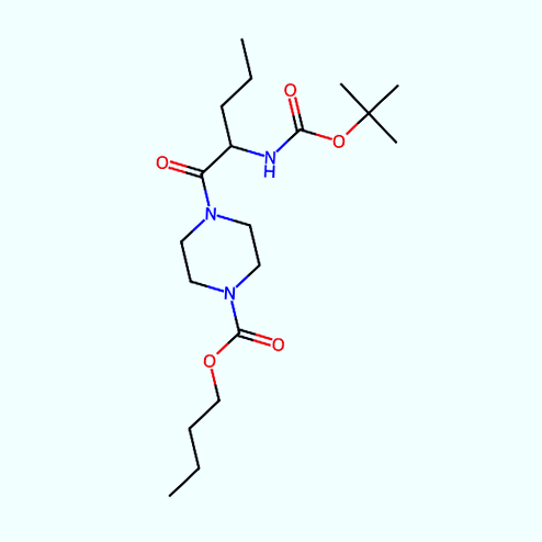 CCCCOC(=O)N1CCN(C(=O)C(CCC)NC(=O)OC(C)(C)C)CC1